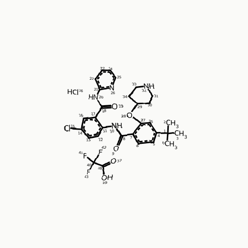 CC(C)(C)c1ccc(C(=O)Nc2ccc(Cl)cc2C(=O)Nc2ccccn2)c(OC2CCNCC2)c1.Cl.O=C(O)C(F)(F)F